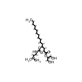 CCCCCCCCCCCCC(CCC(=O)OC(CO)CO)OC(=O)NCCN(C)C